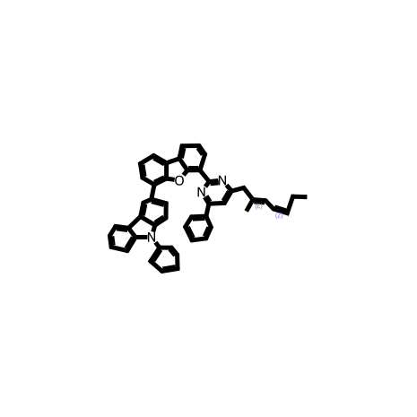 CC/C=C\C=C(/C)Cc1cc(-c2ccccc2)nc(-c2cccc3c2oc2c(-c4ccc5c(c4)c4ccccc4n5-c4ccccc4)cccc23)n1